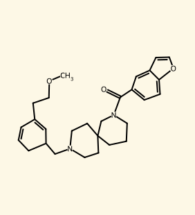 COCCC1=CC(CN2CCC3(CCCN(C(=O)c4ccc5occc5c4)C3)CC2)CC=C1